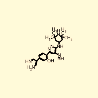 CC1(C)CC(Nc2nnc(-c3ccc(/C(C=N)=C/N)cc3O)cc2N=N)CC(C)(C)N1